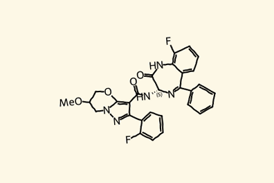 COC1COc2c(C(=O)N[C@H]3N=C(c4ccccc4)c4cccc(F)c4NC3=O)c(-c3ccccc3F)nn2C1